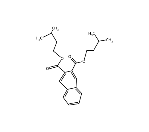 CC(C)CCOC(=O)c1cc2ccccc2cc1C(=O)OCCC(C)C